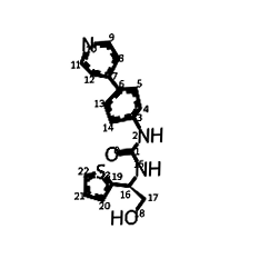 O=C(Nc1ccc(-c2ccncc2)cc1)N[C@@H](CO)c1cccs1